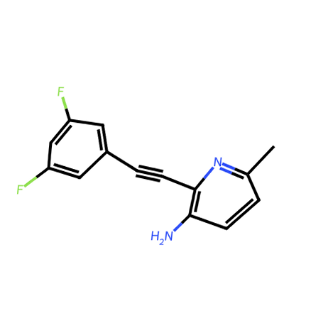 Cc1ccc(N)c(C#Cc2cc(F)cc(F)c2)n1